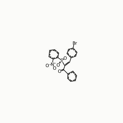 O=C(C(=Cc1ccc(Br)cc1)S(=O)(=O)c1ccccc1[N+](=O)[O-])c1ccccc1